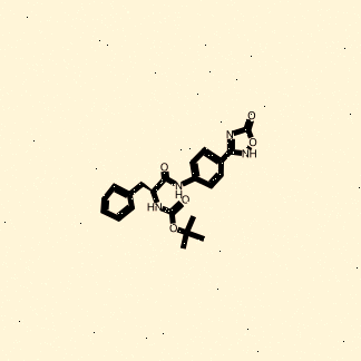 CC(C)(C)OC(=O)N[C@@H](Cc1ccccc1)C(=O)Nc1ccc(-c2nc(=O)o[nH]2)cc1